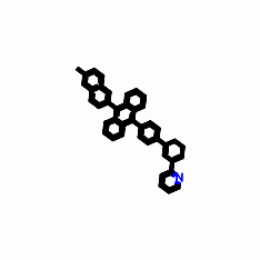 Cc1ccc2cc(-c3c4ccccc4c(-c4ccc(C5=CC(c6ccccn6)=CCC5)cc4)c4ccccc34)ccc2c1